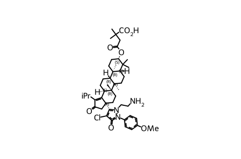 COc1ccc(-n2c(=O)c(Cl)c([C@@]34CC[C@]5(C)[C@H](CC[C@@H]6[C@@]7(C)CC[C@H](OC(=O)CC(C)(C)C(=O)O)C(C)(C)[C@@H]7CC[C@]65C)C3=C(C(C)C)C(=O)C4)n2CCN)cc1